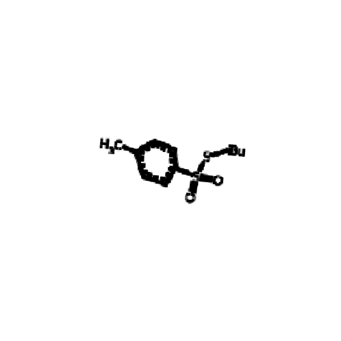 CCC(C)SS(=O)(=O)c1ccc(C)cc1